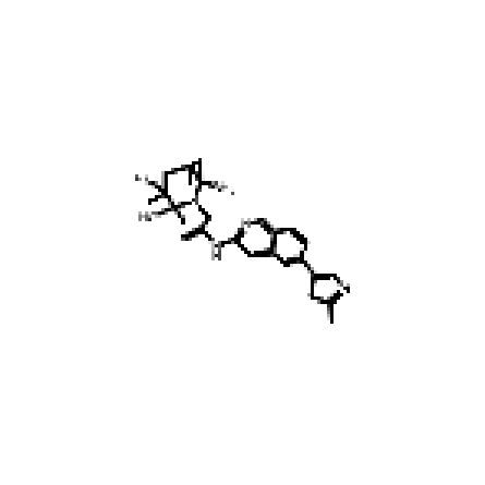 BC12CC1(C)CC(C)(S)C(C)(O)N2CC(=C)Nc1cc2cc(C3=CN=C(C)C3)ccc2cn1